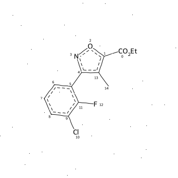 CCOC(=O)c1onc(-c2cccc(Cl)c2F)c1C